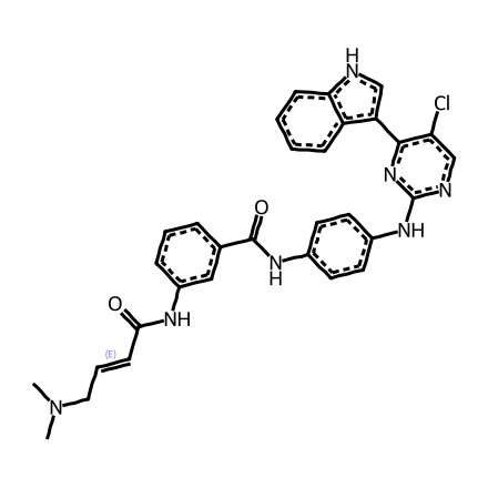 CN(C)C/C=C/C(=O)Nc1cccc(C(=O)Nc2ccc(Nc3ncc(Cl)c(-c4c[nH]c5ccccc45)n3)cc2)c1